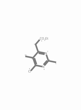 CCOC(=O)Cc1nc(C)nc(Cl)c1C